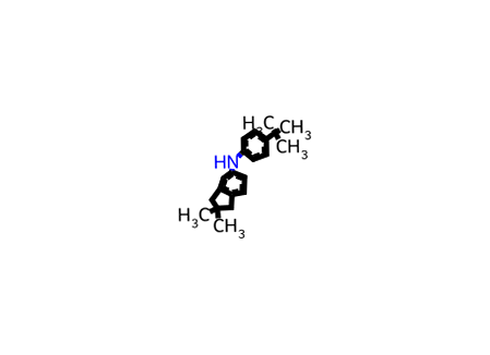 CC1(C)Cc2ccc(Nc3ccc(C(C)(C)C)cc3)cc2C1